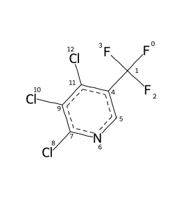 FC(F)(F)c1cnc(Cl)c(Cl)c1Cl